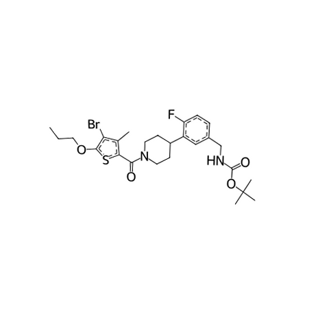 CCCOc1sc(C(=O)N2CCC(c3cc(CNC(=O)OC(C)(C)C)ccc3F)CC2)c(C)c1Br